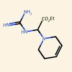 CCOC(=O)C(NC(=N)N)N1CC=CCC1